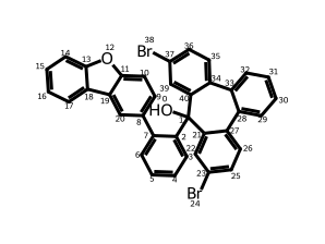 OC1(c2ccccc2-c2ccc3oc4ccccc4c3c2)c2cc(Br)ccc2-c2ccccc2-c2ccc(Br)cc21